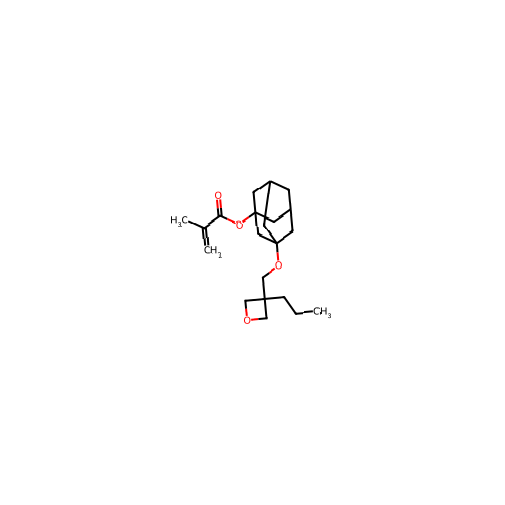 C=C(C)C(=O)OC12CC3CC(CC(OCC4(CCC)COC4)(C3)C1)C2